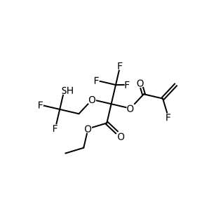 C=C(F)C(=O)OC(OCC(F)(F)S)(C(=O)OCC)C(F)(F)F